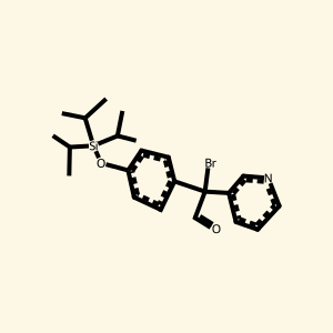 CC(C)[Si](Oc1ccc(C(Br)(C=O)c2cccnc2)cc1)(C(C)C)C(C)C